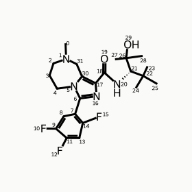 CN1CCCn2c(-c3cc(F)c(F)cc3F)nc(C(=O)N[C@@H](C(C)(C)C)C(C)(C)O)c2C1